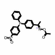 CC(=O)O/N=C(\C)c1ccc(P(c2ccccc2)c2ccc([N+](=O)[O-])cc2)cc1